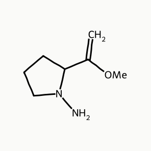 C=C(OC)C1CCCN1N